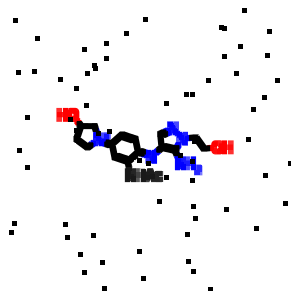 CC(=O)NC1=CC(=[N+]2CCC(O)C2)C=CC1=Nc1cnn(CCO)c1N